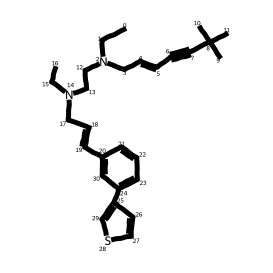 CCN(CC=CC#CC(C)(C)C)CCN(CC)CC=Cc1cccc(-c2ccsc2)c1